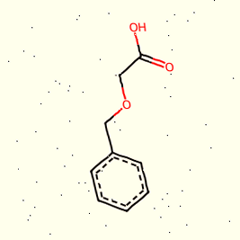 O=C(O)[CH]OCc1ccccc1